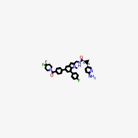 Cn1c(CNC(=O)[C@H]2C[C@@H]2c2ccc(N)nc2)cc2cc(-c3ccc(C(=O)N4CCC(F)(F)CC4)cc3)cc(-c3ccc(F)cc3)c21